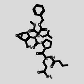 CCCC(=O)N[C@@H](CCC(N)=O)C(=O)N1CCC[C@H]1C(=O)N(C1=C(N)C2OC2C1)[C@@](CC(C)C)(C(=O)OC)C(=O)OCc1ccccc1